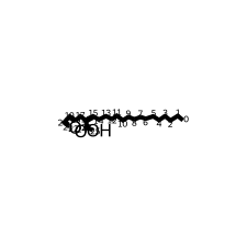 CCCCCCCCCCCCCCCC=C(Cc1ccco1)C(=O)O